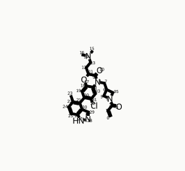 C=CC(=O)N1CC(CN2C(=O)C(CCN(C)C)Oc3cc(-c4c(C)ccc5[nH]ncc45)c(Cl)cc32)C1